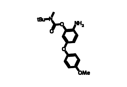 COc1ccc(Oc2ccc(N)c(OC(=O)N(C)C(C)(C)C)c2)cc1